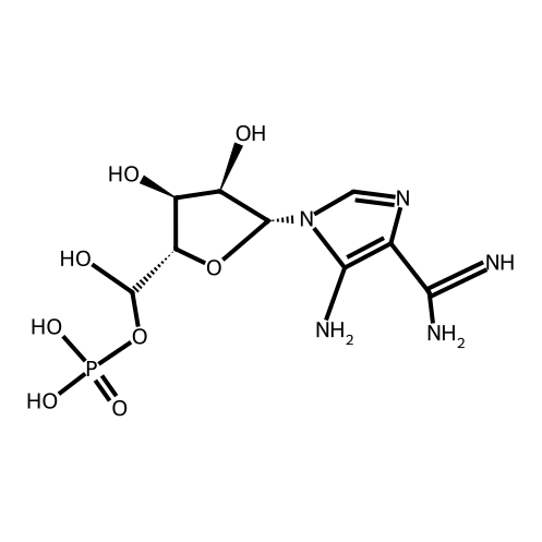 N=C(N)c1ncn([C@@H]2O[C@H](C(O)OP(=O)(O)O)[C@@H](O)[C@H]2O)c1N